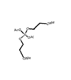 COCCO[Si](OCCOC)(OC(C)=O)OC(C)=O